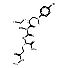 CNC(=O)[C@H](CCC(=O)NOC)NC(=O)N(O)C(=O)[C@H](CCC(C)C)C[S+]([O-])c1ccc(O)cc1